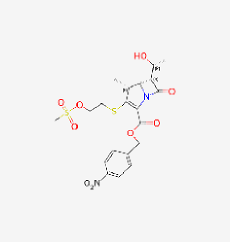 C[C@H]1C(SCCOS(C)(=O)=O)=C(C(=O)OCc2ccc([N+](=O)[O-])cc2)N2C(=O)[C@@H]([C@@H](C)O)C12